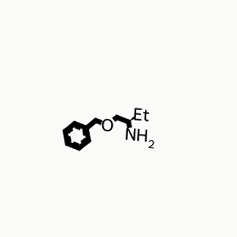 CC[C@H](N)COCc1ccccc1